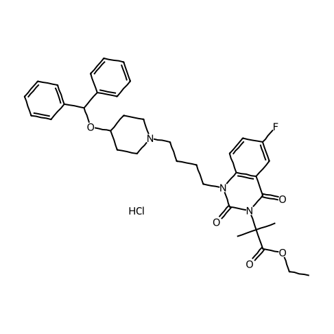 CCOC(=O)C(C)(C)n1c(=O)c2cc(F)ccc2n(CCCCN2CCC(OC(c3ccccc3)c3ccccc3)CC2)c1=O.Cl